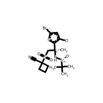 CC(C)(C)[S@@+]([O-])N[C@@](C)(CS(=O)(=O)C1(C#N)CCC1)c1sc(Br)cc1Cl